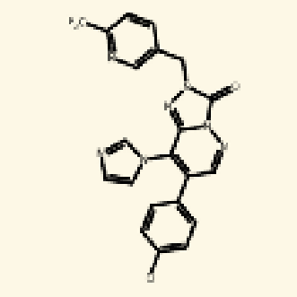 O=c1n(Cc2ccc(C(F)(F)F)nc2)nc2c(-n3ccnc3)c(-c3ccc(Cl)cc3)cnn12